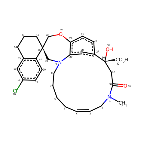 CN1CC=CCCCCN2C[C@@]3(CCCc4cc(Cl)ccc43)COc3ccc(cc32)[C@@](O)(C(=O)O)CC1=O